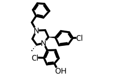 C[C@@H]1CN(Cc2ccccc2)C[C@@H](c2ccc(Cl)cc2)N1c1ccc(O)cc1Cl